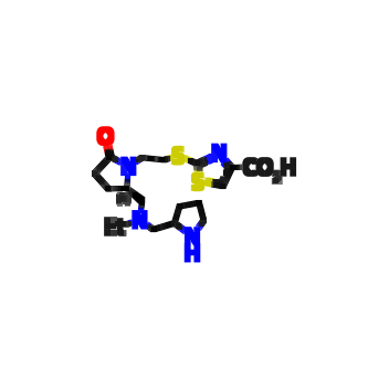 CCN(CC1CCCN1)C[C@H]1CCC(=O)N1CCSc1nc(C(=O)O)cs1